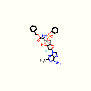 Cc1nc(N)c2ncn([C@@H]3O[C@H](COP(=O)(N[C@@H](C)C(=O)OCc4ccccc4)Oc4ccccc4)C(O)[C@H]3F)c2n1